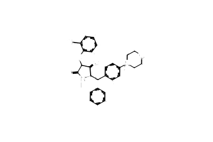 O=C1N[C@H]([C@@H](c2ccccc2)c2ccc(N3CCOCC3)cc2)C(=O)C1Sc1ccccc1Cl